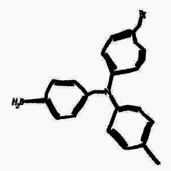 Bc1ccc(N(c2ccc(C)cc2)c2ccc(Br)cc2)cc1